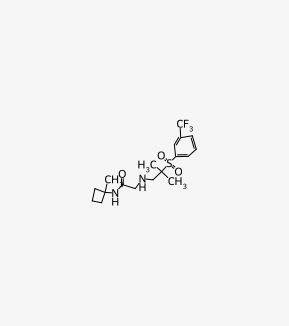 CC1(NC(=O)CNCC(C)(C)S(=O)(=O)c2cccc(C(F)(F)F)c2)CCC1